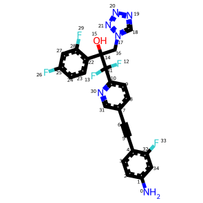 Nc1ccc(C#Cc2ccc(C(F)(F)C(O)(Cn3cnnn3)c3ccc(F)cc3F)nc2)c(F)c1